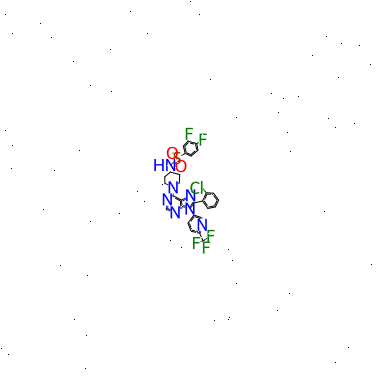 O=S(=O)(NC1CCN(c2ncnc3c2nc(-c2ccccc2Cl)n3-c2ccc(C(F)(F)F)nc2)CC1)c1ccc(F)c(F)c1